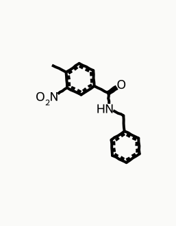 Cc1ccc(C(=O)NCc2ccccc2)cc1[N+](=O)[O-]